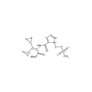 COC(=O)[C@@H](NC(=O)c1ccnn1CCS(C)(=O)=O)C(C1CC1)C1CC1